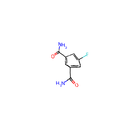 NC(=O)c1cc(F)cc(C(N)=O)c1